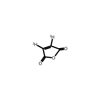 [2H]C1=C([2H])C(=O)OC1=O